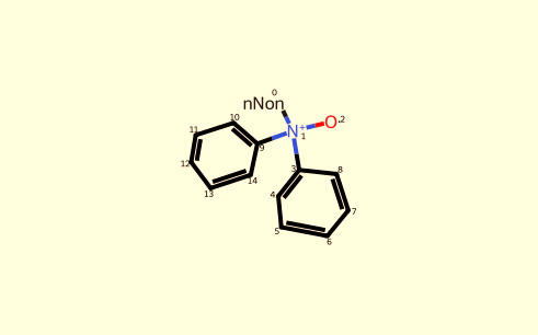 CCCCCCCCC[N+]([O])(c1ccccc1)c1ccccc1